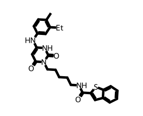 CCc1cc(Nc2cc(=O)n(CCCCCNC(=O)c3cc4ccccc4s3)c(=O)[nH]2)ccc1C